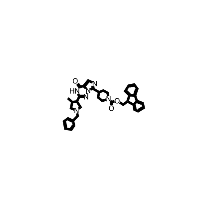 CC1CN(Cc2ccccc2)CC1c1nn2c(C3CCN(C(=O)OCC4c5ccccc5-c5ccccc54)CC3)ncc2c(=O)[nH]1